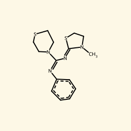 CN1CCSC1=NC(=Nc1ccccc1)N1CCSCC1